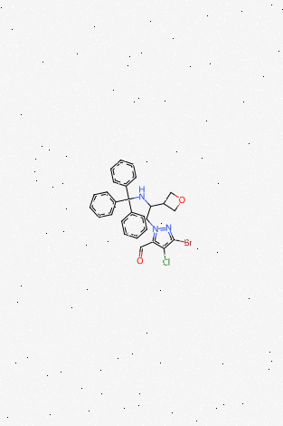 O=Cc1c(Cl)c(Br)nn1CC(NC(c1ccccc1)(c1ccccc1)c1ccccc1)C1COC1